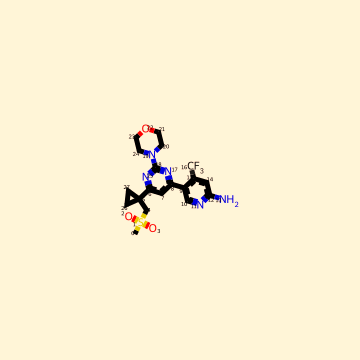 CS(=O)(=O)CC1(c2cc(-c3cnc(N)cc3C(F)(F)F)nc(N3CCOCC3)n2)CC1